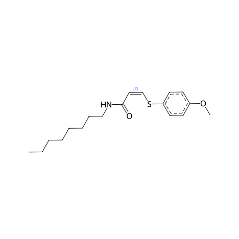 CCCCCCCCNC(=O)/C=C\Sc1ccc(OC)cc1